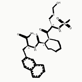 CS(=O)(=O)N[C@@H](CSCO)C(=O)N1CCCC[C@H]1C(=O)N[C@@H](Cc1ccc2ccccc2c1)C(N)=O